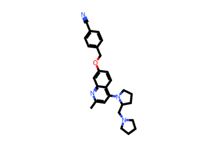 Cc1cc(N2CCCC2CN2CCCC2)c2ccc(OCc3ccc(C#N)cc3)cc2n1